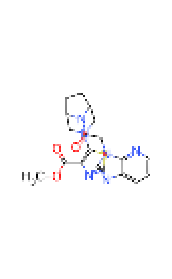 COC(=O)c1ncsc1N1CC2CCC(C1)N2C(=O)Cn1cnc2cccnc21